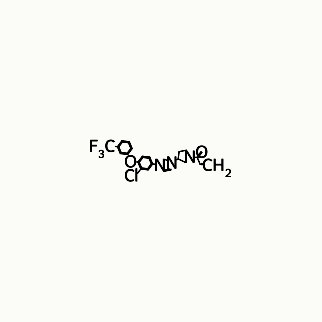 C=CC(=O)N1CCC(N2C=CN(c3ccc(Oc4cccc(C(F)(F)F)c4)c(Cl)c3)C2)C1